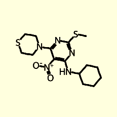 CSc1nc(NC2CCCCC2)c([N+](=O)[O-])c(N2CCSCC2)n1